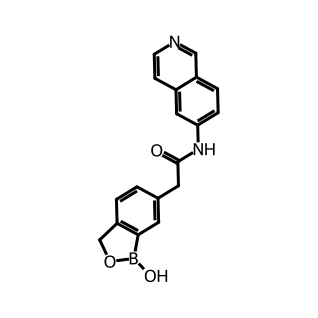 O=C(Cc1ccc2c(c1)B(O)OC2)Nc1ccc2cnccc2c1